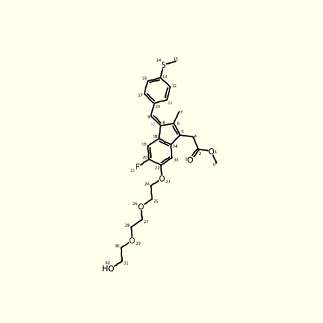 COC(=O)CC1=C(C)/C(=C\c2ccc(SC)cc2)c2cc(F)c(OCCOCCOCCO)cc21